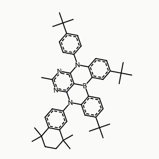 Cc1nc2c3c(n1)N(c1ccc4c(c1)C(C)(C)CCC4(C)C)c1cc(C(C)(C)C)ccc1B3c1cc(C(C)(C)C)ccc1N2c1ccc(C(C)(C)C)cc1